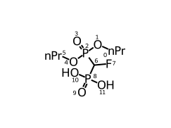 CCCOP(=O)(OCCC)C(F)P(=O)(O)O